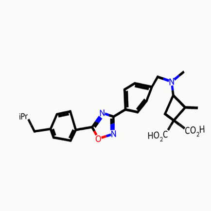 CC(C)Cc1ccc(-c2nc(-c3ccc(CN(C)C4CC(C(=O)O)(C(=O)O)C4C)cc3)no2)cc1